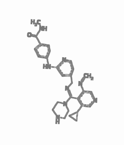 C=Nc1cncc(C2CC2)c1/C(=N\Cc1ccnc(Nc2ccc(C(=O)NC)cc2)c1)N1CCNCC1